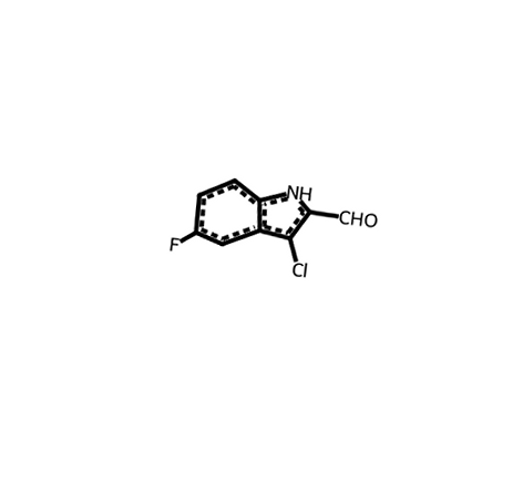 O=Cc1[nH]c2ccc(F)cc2c1Cl